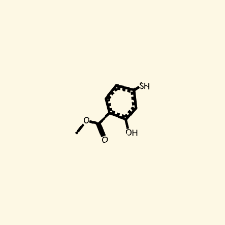 COC(=O)c1ccc(S)cc1O